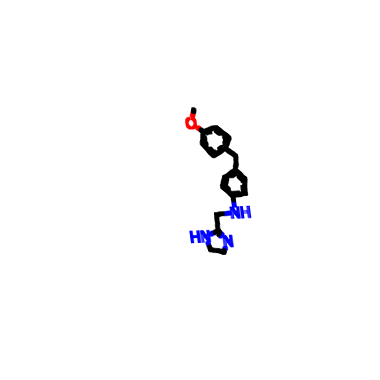 COc1ccc(Cc2ccc(NCC3=NCCN3)cc2)cc1